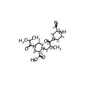 CC(C)C(=O)N1CCN(CC(C)C(=O)N2CCN[C@H](C#N)C2)[C@@H](C(=O)O)C1